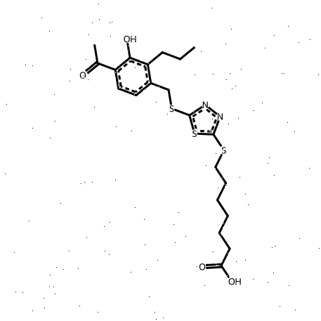 CCCc1c(CSc2nnc(SCCCCCCC(=O)O)s2)ccc(C(C)=O)c1O